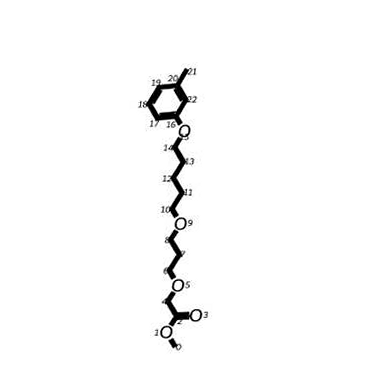 COC(=O)COCCCOCCCCCOc1cccc(C)c1